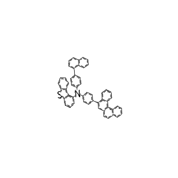 c1ccc2c(-c3ccc(N(c4ccc(-c5cc6ccc7ccccc7c6c6ccccc56)cc4)c4cccc5sc6ccccc6c45)cc3)cccc2c1